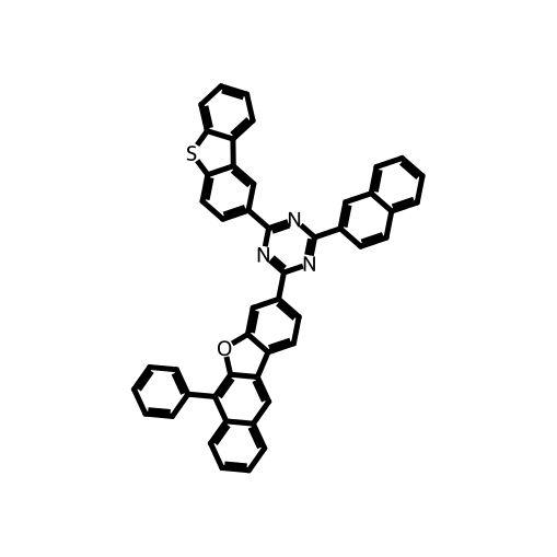 c1ccc(-c2c3ccccc3cc3c2oc2cc(-c4nc(-c5ccc6ccccc6c5)nc(-c5ccc6sc7ccccc7c6c5)n4)ccc23)cc1